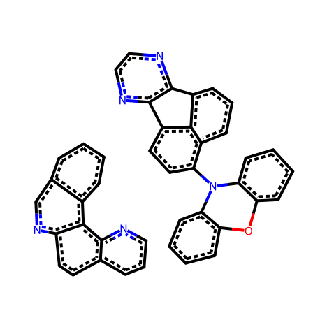 c1ccc2c(c1)Oc1ccccc1N2c1ccc2c3c(cccc13)-c1nccnc1-2.c1ccc2c(c1)cnc1ccc3cccnc3c12